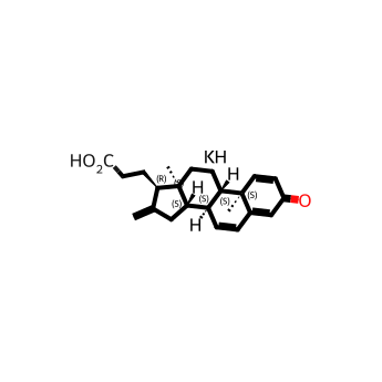 C=C1C[C@H]2[C@@H]3C=CC4=CC(=O)C=C[C@]4(C)[C@H]3CC[C@]2(C)[C@@H]1CCC(=O)O.[KH]